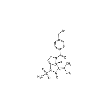 CC(C)[C@H]1C(=O)N(S(C)(=O)=O)C2=CCN(C(=O)c3ccc(CBr)cc3)[C@@H]21